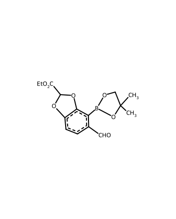 CCOC(=O)C1Oc2ccc(C=O)c(B3OCC(C)(C)O3)c2O1